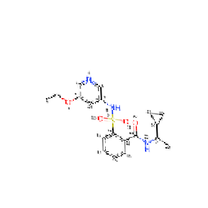 CCOc1cncc(NS(=O)(=O)c2ccccc2C(=O)NC(C)C2CC2)c1